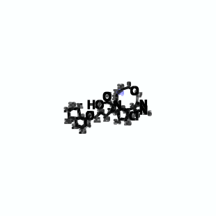 Cc1c2c(nn1C)COC/C=C\Cn1c(C(=O)O)c(CCCOc3cccc4ccccc34)c3ccc(Cl)c-2c31